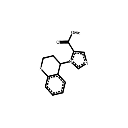 COC(=O)c1cncn1C1CCSc2ccccc21